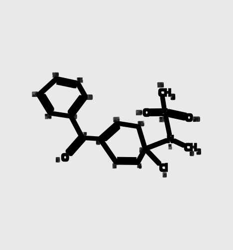 CN(C1(Cl)C=CC(C(=O)c2ccccc2)=CC1)S(C)(=O)=O